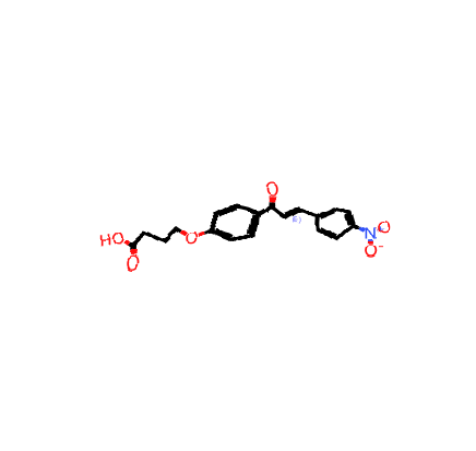 O=C(O)CCCOc1ccc(C(=O)/C=C/c2ccc([N+](=O)[O-])cc2)cc1